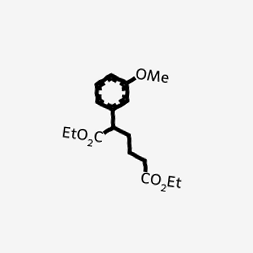 CCOC(=O)CCCC(C(=O)OCC)c1cccc(OC)c1